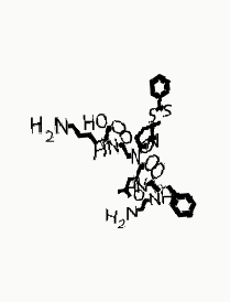 CC(C)C[C@H](NC(=O)[C@H](Cc1ccccc1)NC(=O)CN)C(=O)N(CC(=O)N[C@@H](CCCCN)C(=O)O)C(=O)CCC(C)(C#N)SC(=S)c1ccccc1